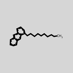 CCCCCCCCCCc1cccc2[c]c3ccccc3cc12